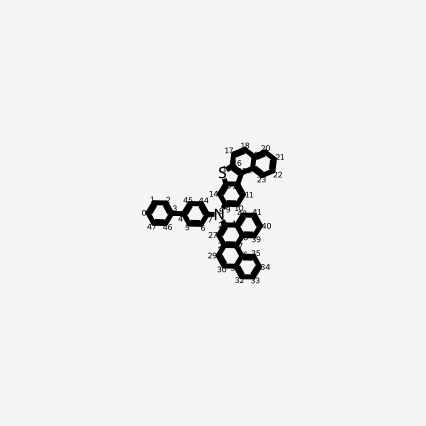 c1ccc(-c2ccc(N(c3ccc4c(c3)sc3ccc5ccccc5c34)c3cc4ccc5ccccc5c4c4ccccc34)cc2)cc1